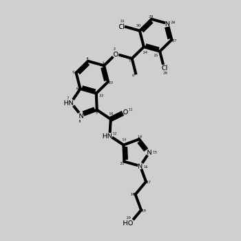 CC(Oc1ccc2[nH]nc(C(=O)Nc3cnn(CCCO)c3)c2c1)c1c(Cl)cncc1Cl